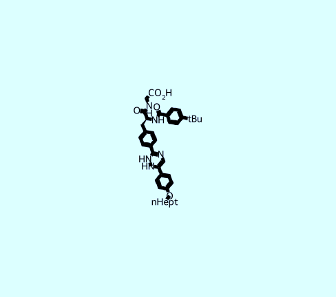 CCCCCCCOc1ccc(C2=CN=C(c3ccc(C[C@H](NC(=O)c4ccc(C(C)(C)C)cc4)C(=O)NCC(=O)O)cc3)NN2)cc1